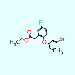 CCOC(=O)Cc1cc(F)ccc1OC(/C=C/Br)CC